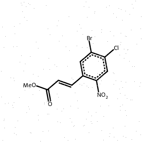 COC(=O)C=Cc1cc(Br)c(Cl)cc1[N+](=O)[O-]